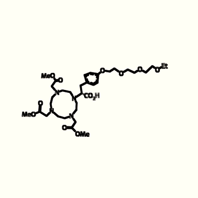 CCOCCOCCOCCOc1ccc(C[C@H](C(=O)O)N2CCN(CC(=O)OC)CCN(CC(=O)OC)CCN(CC(=O)OC)CC2)cc1